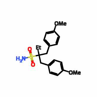 CCC(Cc1ccc(OC)cc1)(Cc1ccc(OC)cc1)S(N)(=O)=O